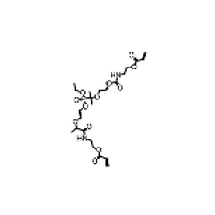 C=CC(=O)OCCNC(=O)OCCOC(C)(C)P(=O)(OCC)OCCOC(C)C(=O)NCCOC(=O)C=C